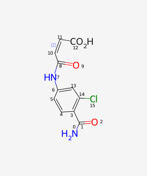 NC(=O)c1ccc(NC(=O)/C=C\C(=O)O)cc1Cl